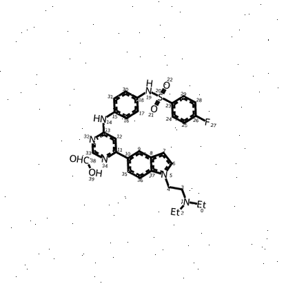 CCN(CC)CCn1ccc2cc(-c3cc(Nc4ccc(NS(=O)(=O)c5ccc(F)cc5)cc4)ncn3)ccc21.O=CO